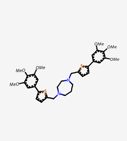 COc1cc(-c2ccc(CN3CCCN(Cc4ccc(-c5cc(OC)c(OC)c(OC)c5)s4)CC3)s2)cc(OC)c1OC